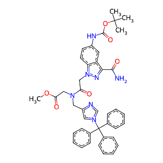 COC(=O)CN(Cc1cn(C(c2ccccc2)(c2ccccc2)c2ccccc2)cn1)C(=O)Cn1nc(C(N)=O)c2cc(NC(=O)OC(C)(C)C)ccc21